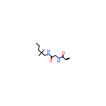 C=CC(=O)NCC(=O)NCC(C)(C)CCC